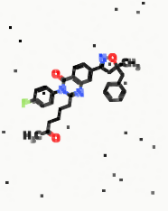 CC(=O)CCCCc1nc2cc(C3=NO[C@](C)(Cc4ccccc4)C3)ccc2c(=O)n1-c1ccc(F)cc1